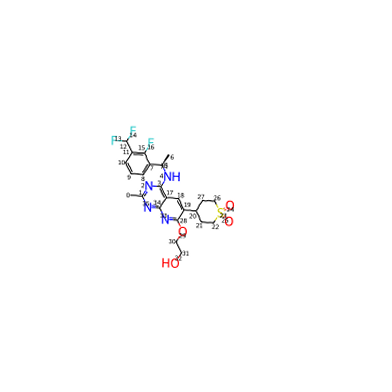 Cc1nc(N[C@H](C)c2cccc(C(F)F)c2F)c2cc(C3CCS(=O)(=O)CC3)c(OCCO)nc2n1